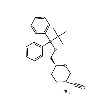 CC(C)(C)[Si](OC[C@@H]1CC[C@](N)(C#N)CO1)(c1ccccc1)c1ccccc1